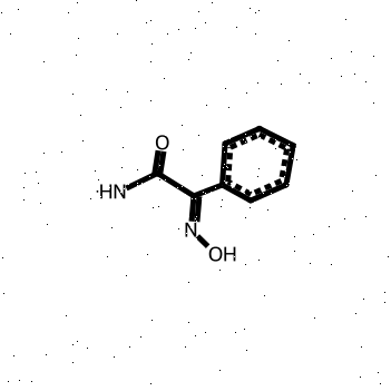 [NH]C(=O)/C(=N/O)c1ccccc1